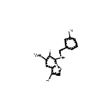 CCc1cnn2c(NCc3cccc(C#N)c3)c(Cl)c(NC)nc12